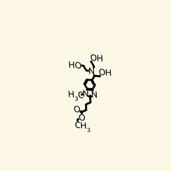 CCOC(=O)CCCc1nc2cc(C(CO)N(CCO)CCO)ccc2n1C